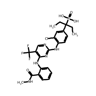 CCC(CC)(c1ccc(Nc2ncc(C(F)(F)F)c(Nc3ccccc3C(=O)NC)n2)c(Cl)c1)P(=O)(O)O